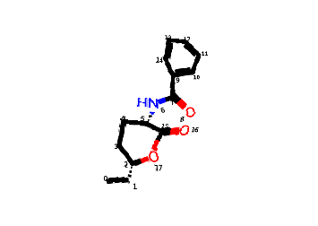 CC[C@@H]1CC[C@H](NC(=O)c2ccccc2)C(=O)O1